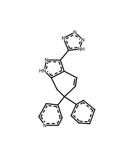 C1=CC(c2ccccc2)(c2ccncc2)Cc2[nH]nc(-c3nnn[nH]3)c21